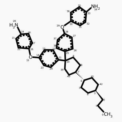 CCC[C@H]1CC[C@H](C2CCC(c3ccc(Oc4ccc(N)cc4)cc3)(c3ccc(Oc4ccc(N)cc4)cc3)CC2)CC1